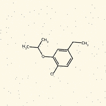 CCc1ccc(Cl)c(OC(C)C)c1